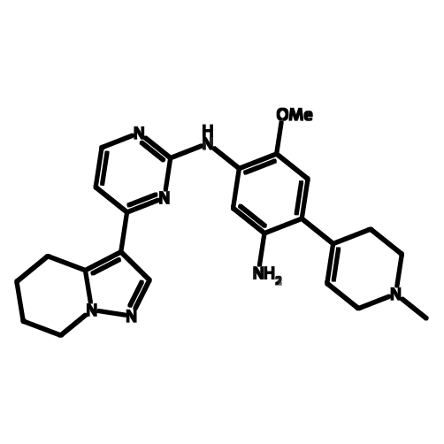 COc1cc(C2=CCN(C)CC2)c(N)cc1Nc1nccc(-c2cnn3c2CCCC3)n1